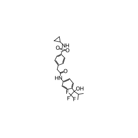 CC(C)C(O)(c1ccc(NC(=O)Cc2ccc(S(=O)(=O)NC3CC3)cc2)cc1)C(F)(F)F